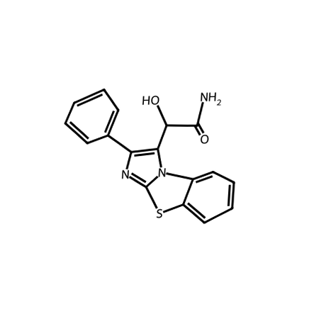 NC(=O)C(O)c1c(-c2ccccc2)nc2sc3ccccc3n12